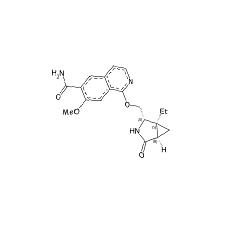 CC[C@]12C[C@H]1C(=O)N[C@@H]2COc1nccc2cc(C(N)=O)c(OC)cc12